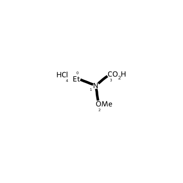 CCN(OC)C(=O)O.Cl